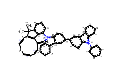 C=C1/C=C\C=C/C/C=C\C2=C1c1c(-n3c4ccccc4c4cc(-c5ccc6c(c5)c5ccccc5n6-c5ccccc5)ccc43)cccc1C2(C)C